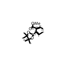 C/C=C(B1OC(C)(C)C(C)(C)O1)\C(=C/C)C(=O)OC